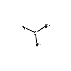 CC(C)[Si](C(C)C)C(C)C